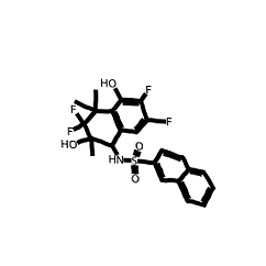 CC1(C)c2c(cc(F)c(F)c2O)C(NS(=O)(=O)c2ccc3ccccc3c2)C(C)(O)C1(F)F